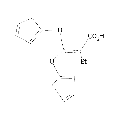 CCC(C(=O)O)=C(OC1=CC=CC1)OC1=CC=CC1